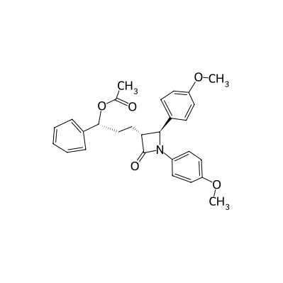 COc1ccc([C@@H]2[C@@H](CC[C@@H](OC(C)=O)c3ccccc3)C(=O)N2c2ccc(OC)cc2)cc1